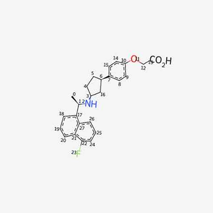 C[C@@H](N[C@H]1CC[C@@H](c2ccc(OCC(=O)O)cc2)C1)c1cccc2c(F)cccc12